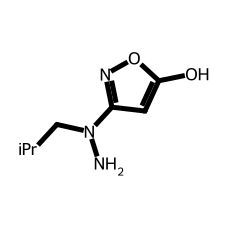 CC(C)CN(N)c1cc(O)on1